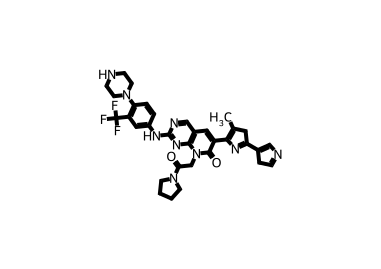 CC1=C(c2cc3cnc(Nc4ccc(N5CCNCC5)c(C(F)(F)F)c4)nc3n(CC(=O)N3CCCC3)c2=O)N=C(C2=CN=CC2)C1